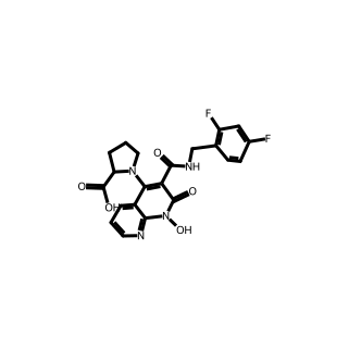 O=C(NCc1ccc(F)cc1F)c1c(N2CCCC2C(=O)O)c2cccnc2n(O)c1=O